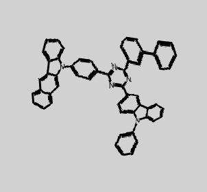 c1ccc(-c2cccc(-c3nc(-c4ccc(-n5c6ccccc6c6cc7ccccc7cc65)cc4)nc(-c4ccc5c(c4)c4ccccc4n5-c4ccccc4)n3)c2)cc1